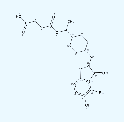 CC(OC(=O)CCC(=O)O)C1CCC(CN2Cc3ccc(O)c(F)c3C2=O)CC1